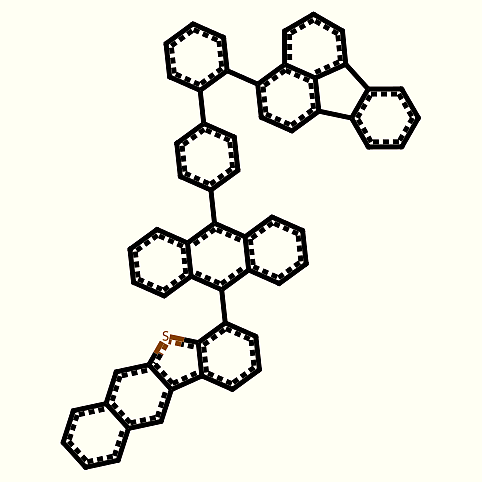 c1ccc(-c2ccc3c4c(cccc24)-c2ccccc2-3)c(-c2ccc(-c3c4ccccc4c(-c4cccc5c4sc4cc6ccccc6cc45)c4ccccc34)cc2)c1